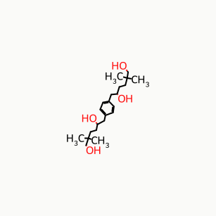 CC(C)(CO)CCC(O)Cc1ccc(CC(O)CCC(C)(C)CO)cc1